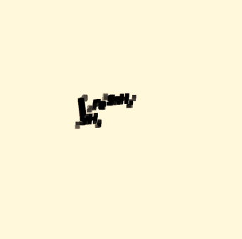 C[SiH3].[Fe].[SnH2]